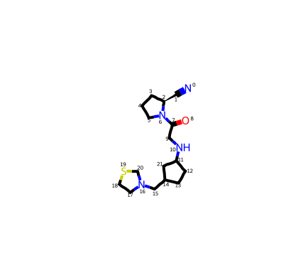 N#C[C@@H]1CCCN1C(=O)CNC1CCC(CN2CCSC2)C1